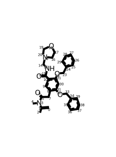 C=C(C)N(C)C(=O)Cc1cc(C(=O)NCN2CCOCC2)c(OCc2ccccc2)cc1OCc1ccccc1